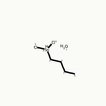 CCC[CH2][SnH]([Cl])[Cl].O